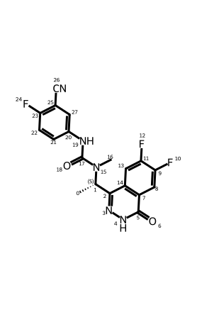 C[C@@H](c1n[nH]c(=O)c2cc(F)c(F)cc12)N(C)C(=O)Nc1ccc(F)c(C#N)c1